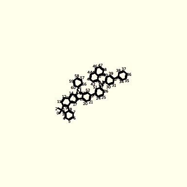 CC1(C)c2ccccc2-c2c1ccc1cc3c(cc21)c1ccc(-c2cccc(N(c4ccc(-c5ccccc5)cc4)c4cccc5ccccc45)c2)cc1n3-c1ccccc1